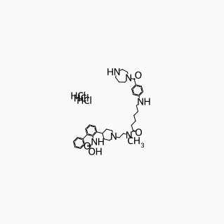 CN(CCN1CCC(c2cccc(-c3ccccc3)c2NC(=O)O)CC1)C(=O)CCCCCNc1ccc(C(=O)N2CCCNCC2)cc1.Cl.Cl.Cl